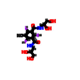 N#Cc1c(I)c(C(=O)NCC(O)CO)c(I)c(C(=O)NCC(O)CO)c1I